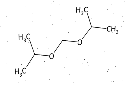 CC(C)OCOC(C)C